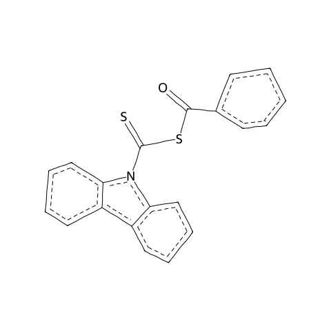 O=C(SC(=S)n1c2ccccc2c2ccccc21)c1ccccc1